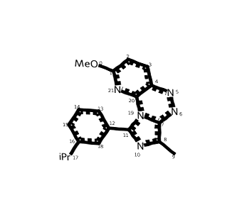 COc1ccc2nnc3c(C)nc(-c4cccc(C(C)C)c4)n3c2n1